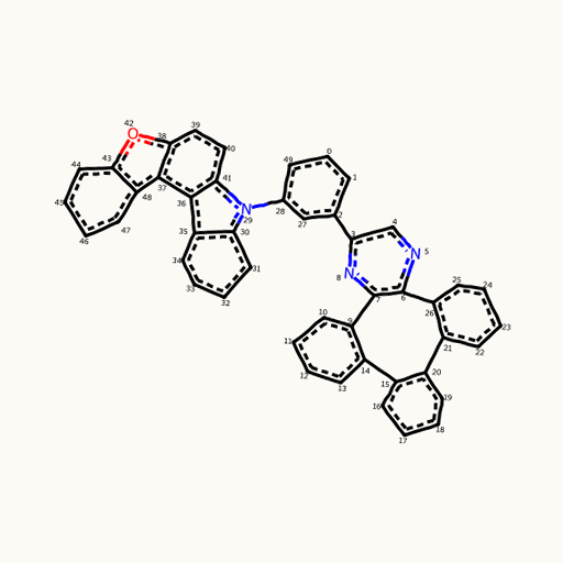 c1cc(-c2cnc3c(n2)-c2ccccc2-c2ccccc2-c2ccccc2-3)cc(-n2c3ccccc3c3c4c(ccc32)oc2ccccc24)c1